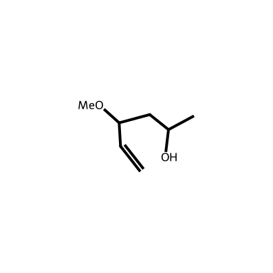 C=CC(CC(C)O)OC